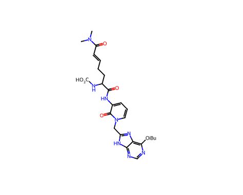 CC(C)COc1ncnc2[nH]c(Cn3cccc(NC(=O)C(CCC=CC(=O)N(C)C)NC(=O)O)c3=O)nc12